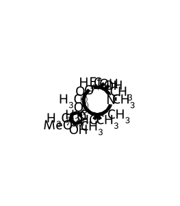 CC[C@H]1OC(=O)[C@H](C)[C@@H](OC2C[C@@](C)(OC)[C@@H](O)[C@H](C)O2)[C@@H](C)CC(C)(O)CC(C)CN(C)C(C)C(O)C1(C)O